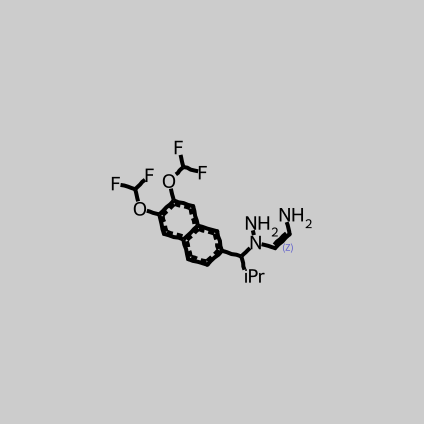 CC(C)C(c1ccc2cc(OC(F)F)c(OC(F)F)cc2c1)N(N)/C=C\N